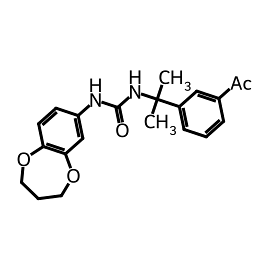 CC(=O)c1cccc(C(C)(C)NC(=O)Nc2ccc3c(c2)OCCCO3)c1